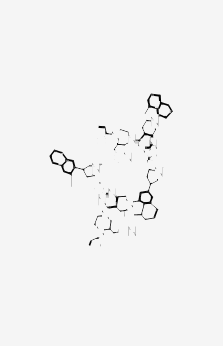 C=CC(=O)N1CCN(c2nc(OC[C@@H]3CC(c4cc5ccccc5cc4F)CN3C)nc3c2CCN(c2cc(C4C[C@@H](COc5nc6c(c(N7CCN(C(=O)C=C)C(CC#N)C7)n5)CCN(c5cccc7cccc(C)c57)C6)N(C)C4)cc4c2C(Cl)CC=C4)C3)CC1CC#N